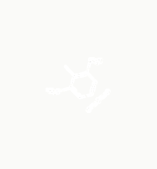 Cc1c(C(=O)O)cccc1C(=O)O.[O]=[Ti]=[O]